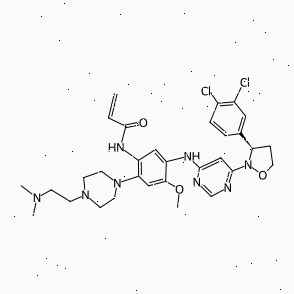 C=CC(=O)Nc1cc(Nc2cc(N3OCC[C@@H]3c3ccc(Cl)c(Cl)c3)ncn2)c(OC)cc1N1CCN(CCN(C)C)CC1